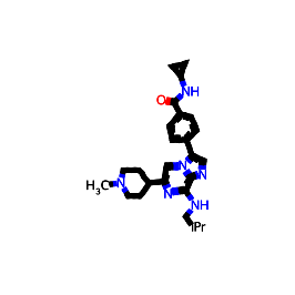 CC(C)CNc1nc(C2CCN(C)CC2)cn2c(-c3ccc(C(=O)NC4CC4)cc3)cnc12